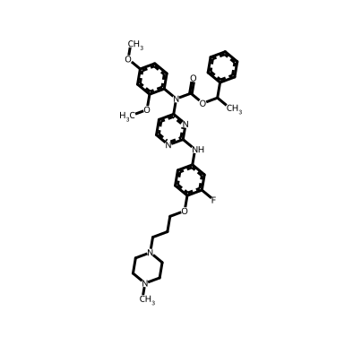 COc1ccc(N(C(=O)OC(C)c2ccccc2)c2ccnc(Nc3ccc(OCCCN4CCN(C)CC4)c(F)c3)n2)c(OC)c1